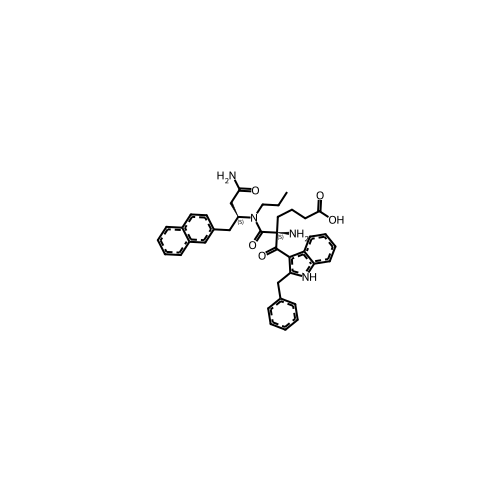 CCCN(C(=O)[C@](N)(CCCC(=O)O)C(=O)c1c(Cc2ccccc2)[nH]c2ccccc12)[C@H](CC(N)=O)Cc1ccc2ccccc2c1